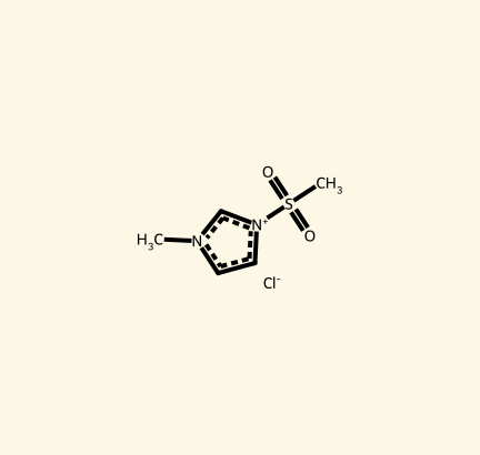 Cn1cc[n+](S(C)(=O)=O)c1.[Cl-]